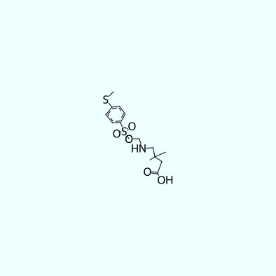 CSc1ccc(S(=O)(=O)OCNCC(C)(C)CC(=O)O)cc1